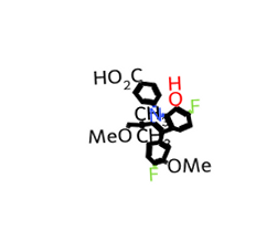 COCC(C)(C)c1c(-c2ccc(F)c(OC)c2)c2ccc(F)c(O)c2n1-c1ccc(C(=O)O)cc1